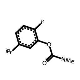 CNC(=O)Oc1cc(C(C)C)ccc1F